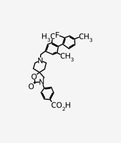 Cc1ccc(-c2c(C)cc(CN3CCC4(CC3)CN(c3ccc(C(=O)O)cc3)C(=O)O4)cc2C)c(F)c1